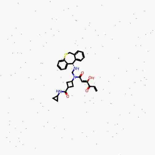 C=CC(=O)/C(O)=C/C(=O)N(CN[C@H]1c2ccccc2CSc2ccccc21)C1CC(C(=O)NC2CC2)C1